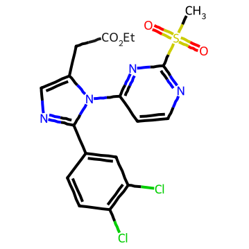 CCOC(=O)Cc1cnc(-c2ccc(Cl)c(Cl)c2)n1-c1ccnc(S(C)(=O)=O)n1